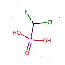 O=P(O)(O)C(F)Cl